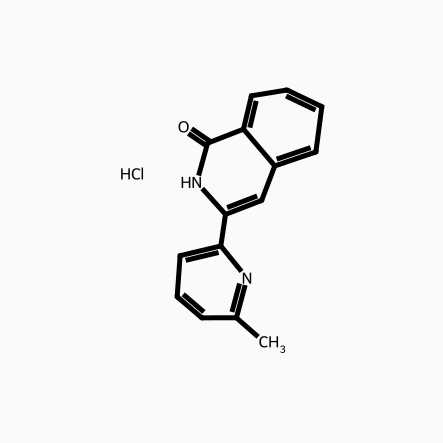 Cc1cccc(-c2cc3ccccc3c(=O)[nH]2)n1.Cl